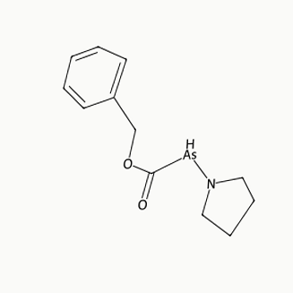 O=C(OCc1ccccc1)[AsH]N1CCCC1